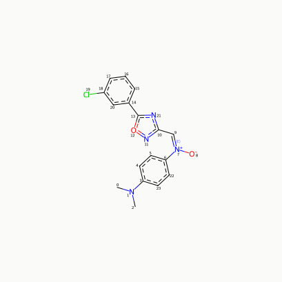 CN(C)c1ccc(/[N+]([O-])=C\c2noc(-c3cccc(Cl)c3)n2)cc1